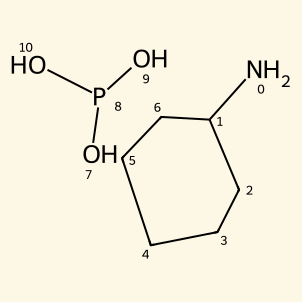 NC1CCCCC1.OP(O)O